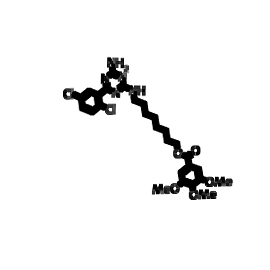 COc1cc(C(=O)OCCCCCCCCNc2nc(N)nc(-c3cc(Cl)ccc3Cl)n2)cc(OC)c1OC